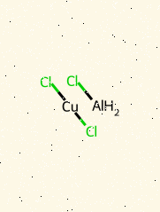 [AlH2][Cl].[Cl][Cu][Cl]